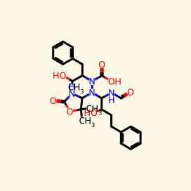 CC(O)C(Cc1ccccc1)N(C(=O)O)N(C(NC=O)C(O)CCc1ccccc1)C1NC(=O)OC1(C)C